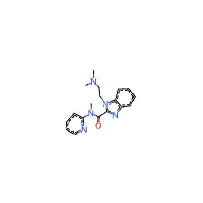 CN(C)CCn1c(C(=O)N(C)c2ccccn2)nc2ccccc21